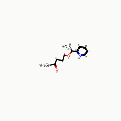 CCCCCCCC(=O)CCCOC(c1ccccn1)S(=O)(=O)O